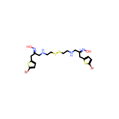 O/N=C(/CNCCSSCCNC/C(Cc1ccc(Br)s1)=N/O)Cc1ccc(Br)s1